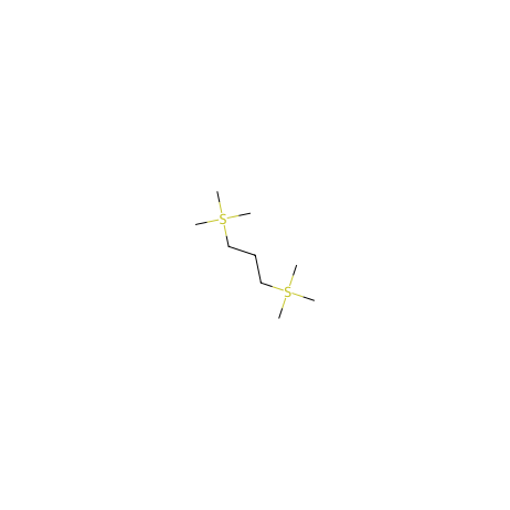 CS(C)(C)CCCS(C)(C)C